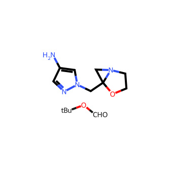 CC(C)(C)OC=O.Nc1cnn(CC23CN2CCO3)c1